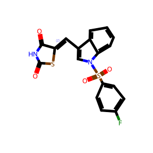 O=C1NC(=O)/C(=C/c2cn(S(=O)(=O)c3ccc(F)cc3)c3ccccc23)S1